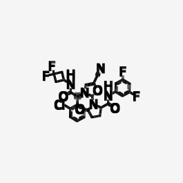 N#CC1=CN([C@H](C(=O)NC2CC(F)(F)C2)c2ccccc2Cl)C(N2C(=O)CCC2C(=O)Nc2cc(F)cc(F)c2)O1